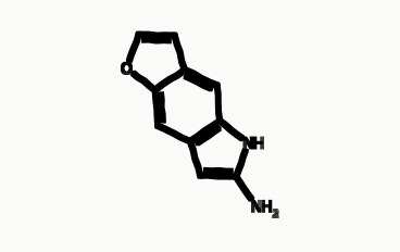 Nc1cc2cc3occc3cc2[nH]1